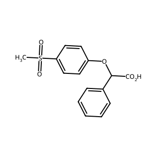 CS(=O)(=O)c1ccc(OC(C(=O)O)c2ccccc2)cc1